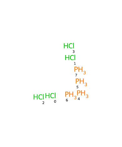 Cl.Cl.Cl.Cl.P.P.P.P